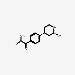 C[C@H]1C[C@@H](c2ccc(C(=O)N(C)C)cc2)CCN1